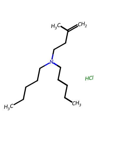 C=C(C)CCN(CCCCC)CCCCC.Cl